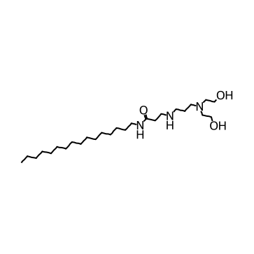 CCCCCCCCCCCCCCCCNC(=O)CCNCCCN(CCO)CCO